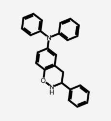 c1ccc(C2Cc3cc(N(c4ccccc4)c4ccccc4)ccc3ON2)cc1